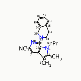 CCCn1c(C)c(C)c2cc(C#N)nc(N3CCc4ccccc4C3)c21